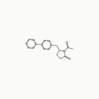 CC(=O)N1C(=O)CCC1Cc1ccc(-c2ccccc2)cc1